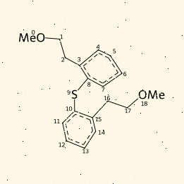 COCCc1ccccc1Sc1ccccc1CCOC